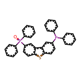 O=P(c1ccccc1)(c1ccccc1)c1ccc2sc3ccc(P(c4ccccc4)c4ccccc4)cc3c2c1